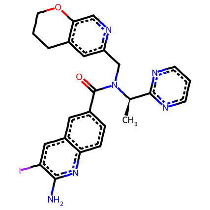 C[C@H](c1ncccn1)N(Cc1cc2c(cn1)OCCC2)C(=O)c1ccc2nc(N)c(I)cc2c1